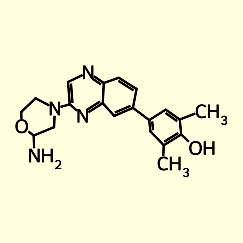 Cc1cc(-c2ccc3ncc(N4CCOC(N)C4)nc3c2)cc(C)c1O